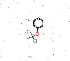 C[Si](Cl)(Cl)Oc1ccccc1